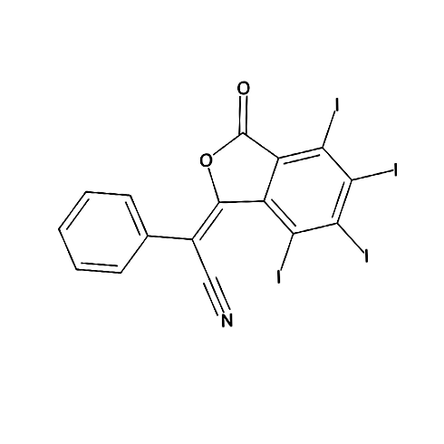 N#CC(=C1OC(=O)c2c(I)c(I)c(I)c(I)c21)c1ccccc1